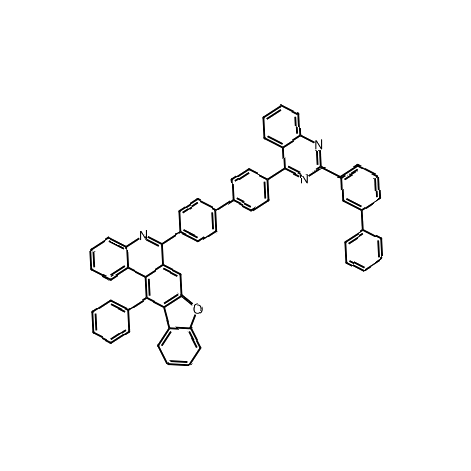 c1ccc(-c2cccc(-c3nc(-c4ccc(-c5ccc(-c6nc7ccccc7c7c(-c8ccccc8)c8c(cc67)oc6ccccc68)cc5)cc4)c4ccccc4n3)c2)cc1